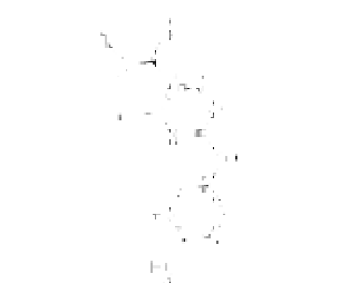 O=C(OI)c1ccc(Oc2ccc(O)cc2)cc1I